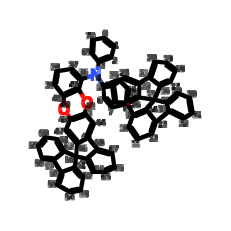 c1ccc(N(c2ccc(-c3cccc4c3C3(c5ccccc5-c5ccccc53)c3ccccc3-4)cc2)c2cccc3c2Oc2cc4c(cc2O3)C2(c3ccccc3-c3ccccc32)c2ccccc2-4)cc1